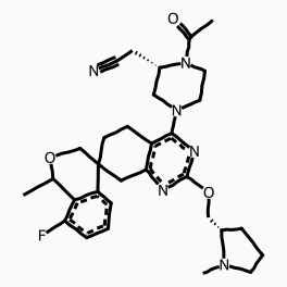 CC(=O)N1CCN(c2nc(OC[C@@H]3CCCN3C)nc3c2CCC2(COC(C)c4c(F)cccc42)C3)C[C@@H]1CC#N